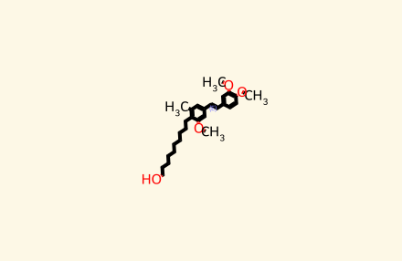 COc1ccc(/C=C/c2cc(C)c(CCCCCCCCCCO)c(OC)c2)cc1OC